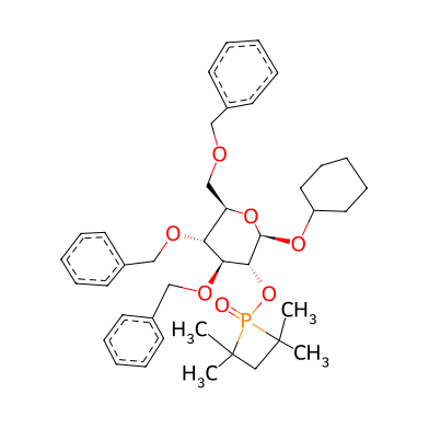 CC1(C)CC(C)(C)P1(=O)O[C@H]1[C@H](OC2CCCCC2)O[C@H](COCc2ccccc2)[C@@H](OCc2ccccc2)[C@@H]1OCc1ccccc1